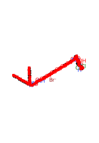 CCCCCCCCCCCCCCCCOCC(C[N+](C)(C)CCCNC(=O)CCC(=O)NCCOCCOCCOCCOCCOCCOCCOCCOCCOCCOCCOCCOCCC(=O)NCCC1(C(=O)N[C@@](C)(Cc2ccc(NC(=O)c3c(Cl)cccc3Cl)cc2)C(=O)O)CCCC1)OCCCCCCCCCCCCCCCC.[Br-]